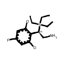 CC[Si](CC)(CC)[C@@H](CN)c1c(Cl)cc(F)cc1Cl